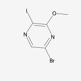 COc1nc(Br)cnc1I